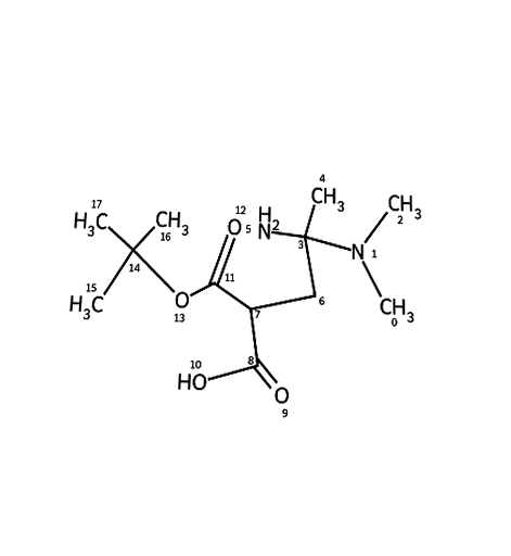 CN(C)C(C)(N)CC(C(=O)O)C(=O)OC(C)(C)C